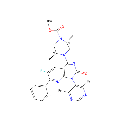 CC(C)c1ncnc(C(C)C)c1-n1c(=O)nc(N2C[C@@H](C)N(C(=O)OC(C)(C)C)C[C@@H]2C)c2cc(F)c(-c3ccccc3F)nc21